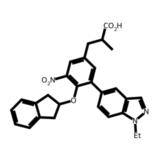 CCn1ncc2cc(-c3cc(CC(C)C(=O)O)cc([N+](=O)[O-])c3OC3Cc4ccccc4C3)ccc21